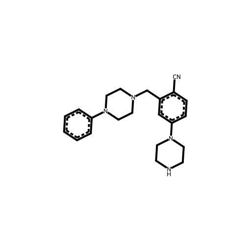 N#Cc1ccc(N2CCNCC2)cc1CN1CCN(c2ccccc2)CC1